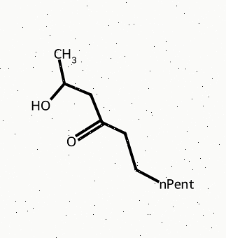 CCCCCCCC(=O)CC(C)O